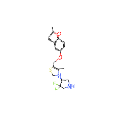 CC1=C(COc2ccc3oc(C)cc3c2)SCN1C1CNCC1(F)F